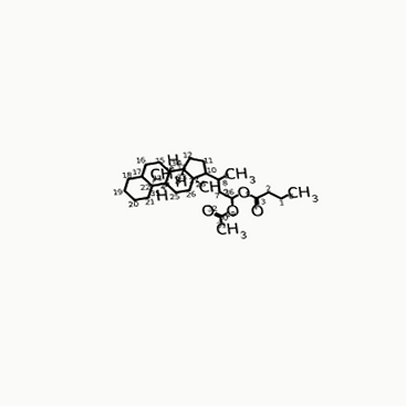 CCCC(=O)OC(CC(C)C1CC[C@H]2[C@@H]3CCC4CCCC[C@]4(C)[C@@H]3CC[C@]12C)OC(C)=O